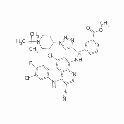 COC(=O)c1cccc([C@H](Nc2cc(Cl)cc3c(Nc4ccc(F)c(Cl)c4)c(C#N)cnc23)c2cn(C3CCN(C(C)(C)C)CC3)nn2)c1